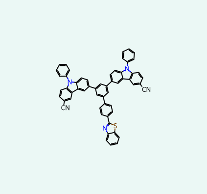 N#Cc1ccc2c(c1)c1cc(-c3cc(-c4ccc(-c5nc6ccccc6s5)cc4)cc(-c4ccc5c(c4)c4cc(C#N)ccc4n5-c4ccccc4)c3)ccc1n2-c1ccccc1